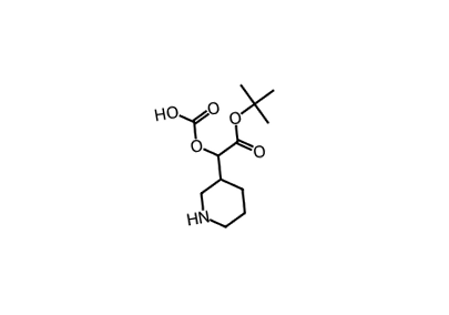 CC(C)(C)OC(=O)C(OC(=O)O)C1CCCNC1